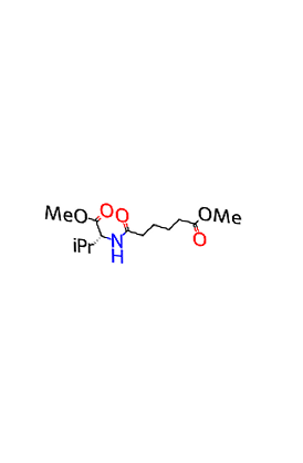 COC(=O)CCCCC(=O)N[C@@H](C(=O)OC)C(C)C